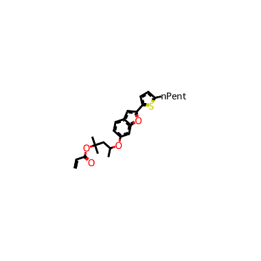 C=CC(=O)OC(C)(C)CC(C)Oc1ccc2cc(-c3ccc(CCCCC)s3)oc2c1